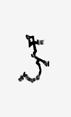 CCCCCCCCCC(O)OCC1(CC)COC1